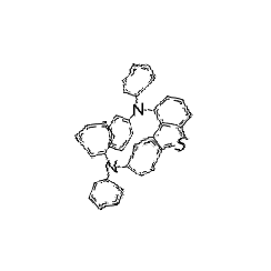 c1ccc(N(c2ccccc2)c2ccc3sc4cccc(N(c5ccccc5)c5ccccc5)c4c3c2)cc1